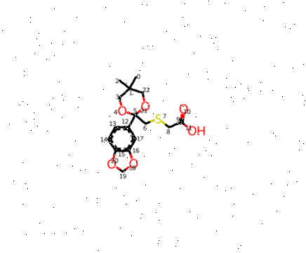 CC1(C)COC(CSCC(=O)O)(c2ccc3c(c2)OCO3)OC1